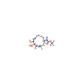 CO[C@H]1/C=C/CCCC[C@@H](NC(=O)OC(C)(C)C)CC/C(C)=C\[C@@H](C)[C@@H]1O